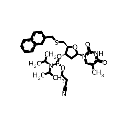 Cc1cn([C@H]2C[C@H](OP(OCCC#N)N(C(C)C)C(C)C)[C@@H](CSCc3ccc4ccccc4c3)O2)c(=O)[nH]c1=O